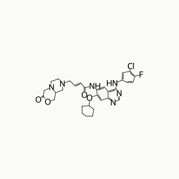 O=C(C=CCN1CCN2CC(=O)OCC2C1)Nc1cc2c(Nc3ccc(F)c(Cl)c3)ncnc2cc1OC1CCCCC1